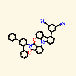 N#Cc1cc(C#N)cc(-c2cccc3c2c2ccccc2n3-c2cccc3c2C(=O)N(c2ccc(-c4ccccc4)cc2-c2ccccc2)C3=O)c1